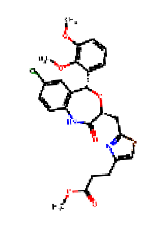 COC(=O)CCc1csc(C[C@@H]2O[C@@H](c3cccc(OC)c3OC)c3cc(Cl)ccc3NC2=O)n1